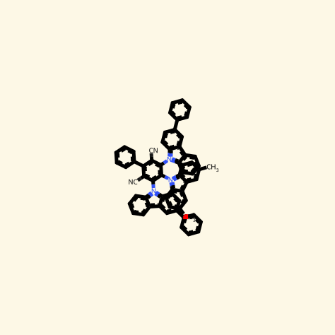 Cc1ccc2c(c1)c1cc(C)ccc1n2-c1c(-n2c3ccccc3c3cc(-c4ccccc4)ccc32)c(C#N)c(-c2ccccc2)c(C#N)c1-n1c2ccccc2c2cc(-c3ccccc3)ccc21